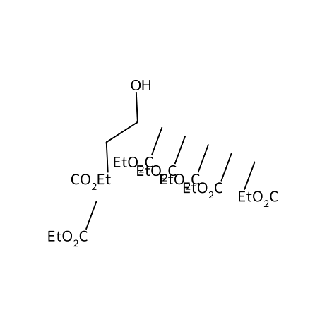 CCOC(=O)CCO.CCOC(C)=O.CCOC(C)=O.CCOC(C)=O.CCOC(C)=O.CCOC(C)=O.CCOC(C)=O